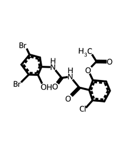 CC(=O)Oc1cccc(Cl)c1C(=O)NC(=O)Nc1cc(Br)cc(Br)c1O